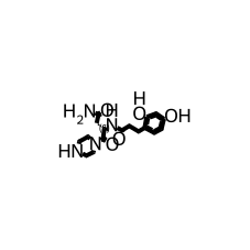 NC(=O)C[C@H](NC(=O)CCc1ccc(O)cc1O)C(=O)N1CCNCC1